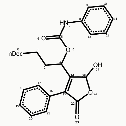 CCCCCCCCCCCCC(OC(=O)Nc1ccccc1)C1=C(c2ccccc2)C(=O)OC1O